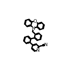 N#Cc1cc(-c2ccccc2-c2ccccc2CN2c3ccccc3Oc3ccccc32)ccn1